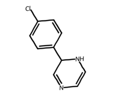 Clc1ccc(C2C=NC=CN2)cc1